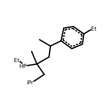 CCPC(C)(CC(C)C)CC(C)c1ccc(CC)cc1